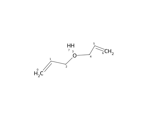 C=CCOCC=C.[HH]